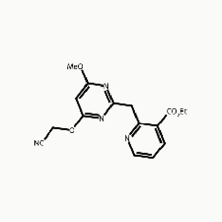 CCOC(=O)c1cccnc1Cc1nc(OC)cc(OCC#N)n1